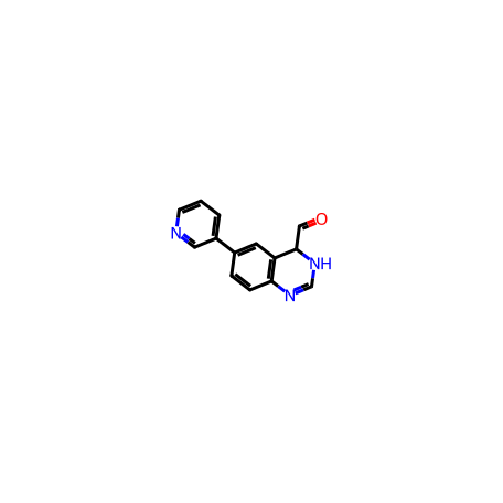 O=CC1NC=Nc2ccc(-c3cccnc3)cc21